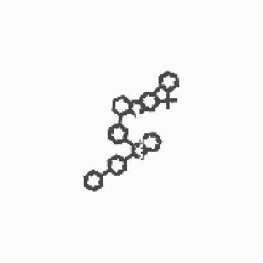 CC1(C)c2ccccc2-c2cc3c4c(oc3cc21)=C(c1cccc(-c2c(-c3ccc(-c5ccccc5)cc3)nc3ccccn23)c1)CCC=4